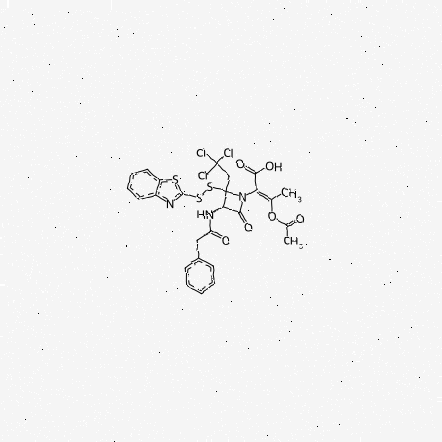 CC(=O)OC(C)=C(C(=O)O)N1C(=O)C(NC(=O)Cc2ccccc2)C1(CC(Cl)(Cl)Cl)SSc1nc2ccccc2s1